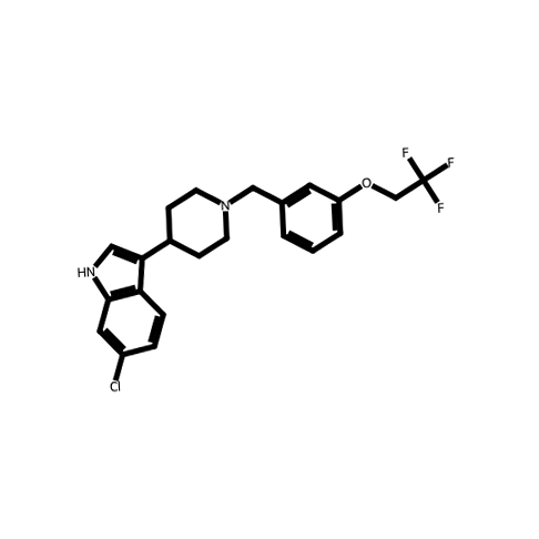 FC(F)(F)COc1cccc(CN2CCC(c3c[nH]c4cc(Cl)ccc34)CC2)c1